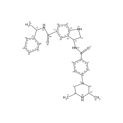 CC1CN(c2ccc(C(=O)NC3CNc4ccc(C(=O)NC(C)c5ccccc5)cc43)cc2)CC(C)N1